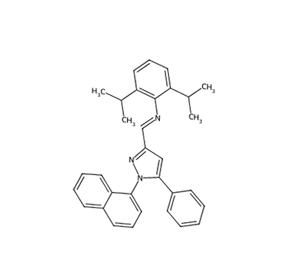 CC(C)c1cccc(C(C)C)c1/N=C/c1cc(-c2ccccc2)n(-c2cccc3ccccc23)n1